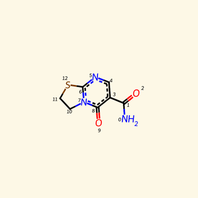 NC(=O)c1cnc2n(c1=O)CCS2